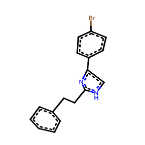 Brc1ccc(-c2c[nH]c(CCc3ccccc3)n2)cc1